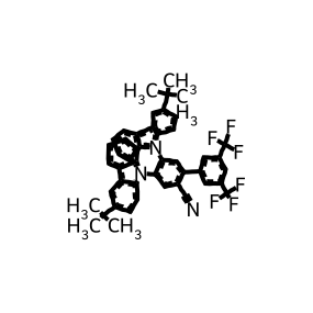 CC(C)(C)c1ccc2c(c1)c1ccccc1n2-c1cc(C#N)c(-c2cc(C(F)(F)F)cc(C(F)(F)F)c2)cc1-n1c2ccccc2c2cc(C(C)(C)C)ccc21